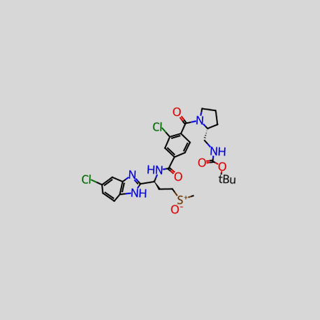 C[S+]([O-])CC[C@H](NC(=O)c1ccc(C(=O)N2CCC[C@@H]2CNC(=O)OC(C)(C)C)c(Cl)c1)c1nc2cc(Cl)ccc2[nH]1